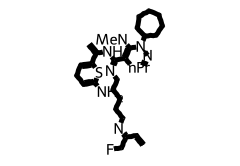 C=C/C(CF)=N\CCCCC/N=C(NC(=C)C1=CCC=C(N)S1)\C(CCC)=C(/NC)N(N=C)C1CCCCCC1